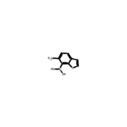 O=[N+]([O-])c1ccc2ccsc2c1B(O)O